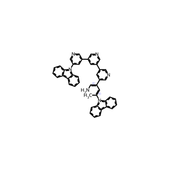 C/C(=C\C(=C/N)c1cncc(-c2cncc(-c3cncc(-n4c5ccccc5c5ccccc54)c3)c2)c1)n1c2ccccc2c2ccccc21